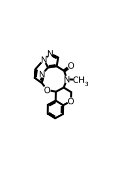 CN1C(=O)c2cnn3ccc(nc23)OC2c3ccccc3OCC21